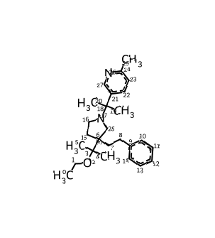 CCOC(C)(C)[C@]1(CCc2ccccc2)CCN(C(C)(C)c2ccc(C)nc2)C1